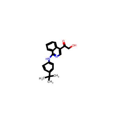 CC(C)(C)c1ccc(Nc2ncc(C(=O)CO)c3ccccc23)cc1